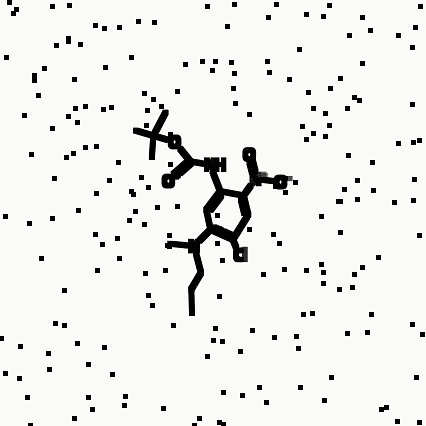 CCCN(C)c1cc(NC(=O)OC(C)(C)C)c([N+](=O)[O-])cc1Cl